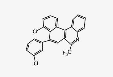 FC(F)(F)c1nc2ccccc2c2c1cc(-c1cccc(Cl)c1)c1c(Cl)cccc12